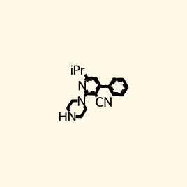 CC(C)c1cc(-c2ccccc2)c(C#N)c(N2CCNCC2)n1